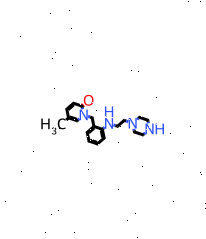 Cc1ccc(=O)n(Cc2ccccc2NCCN2CCNCC2)c1